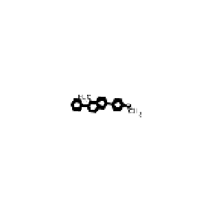 COc1ccc(-c2ccc3c(C)c(-c4ccccc4)ccc3c2)cc1